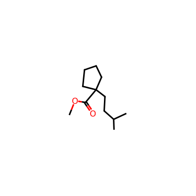 COC(=O)C1(CCC(C)C)CCCC1